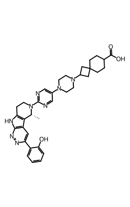 C[C@@H]1c2c([nH]c3nnc(-c4ccccc4O)cc23)CCN1c1ncc(N2CCN(C3CC4(CCC(C(=O)O)CC4)C3)CC2)cn1